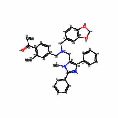 CCCCn1c(-c2ccccc2)nc(-c2ccccc2)c1CN(Cc1ccc2c(c1)OCO2)Cc1ccc(C(=O)OC)c(OC)c1